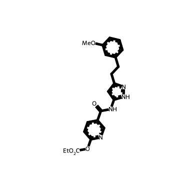 CCOC(=O)Oc1ccc(C(=O)Nc2cc(CCc3cccc(OC)c3)n[nH]2)cn1